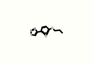 CCCOc1ccc(-c2csnn2)c2c1O2